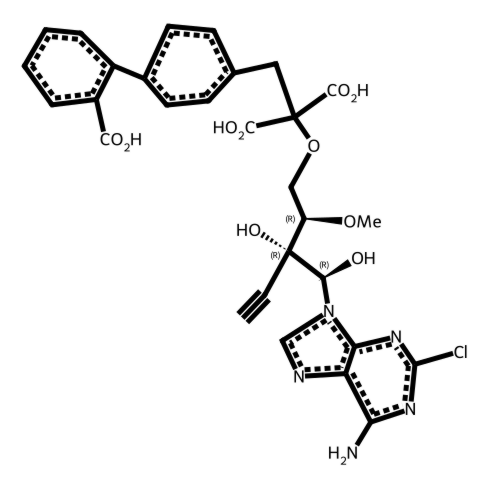 C#C[C@@](O)([C@@H](COC(Cc1ccc(-c2ccccc2C(=O)O)cc1)(C(=O)O)C(=O)O)OC)[C@@H](O)n1cnc2c(N)nc(Cl)nc21